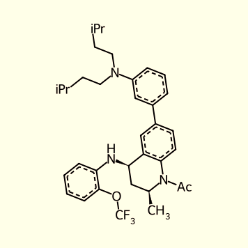 CC(=O)N1c2ccc(-c3cccc(N(CCC(C)C)CCC(C)C)c3)cc2[C@H](Nc2ccccc2OC(F)(F)F)C[C@@H]1C